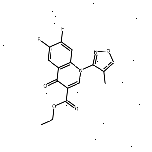 CCOC(=O)c1cn(-c2nocc2C)c2cc(F)c(F)cc2c1=O